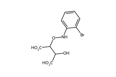 O=C(O)C(O)C(ONc1ccccc1Br)C(=O)O